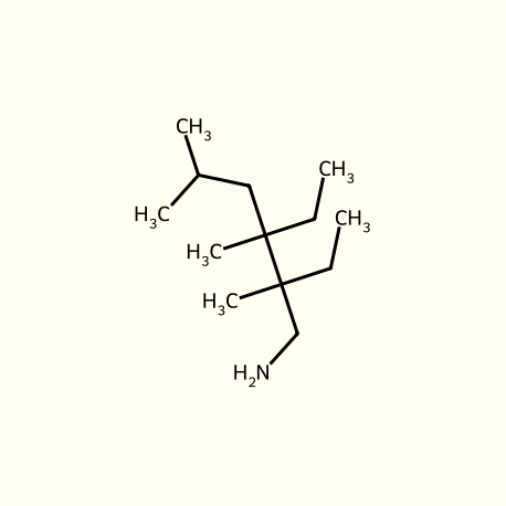 CCC(C)(CN)C(C)(CC)CC(C)C